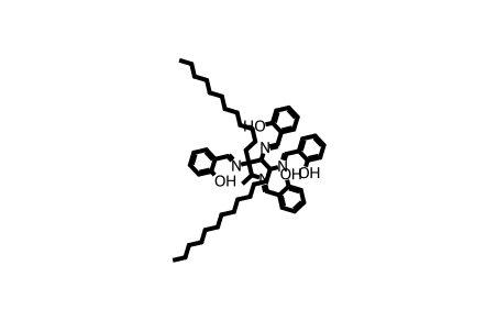 CCCCCCCCCCCCC(N=Cc1ccccc1O)C(N=Cc1ccccc1O)C(CCCCCCCCCCCC)(N=Cc1ccccc1O)C(C)N=Cc1ccccc1O